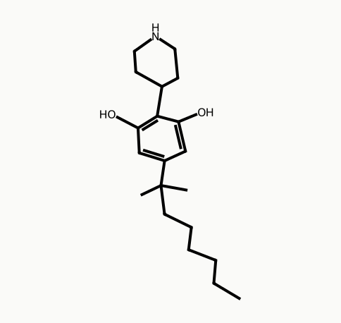 CCCCCCC(C)(C)c1cc(O)c(C2CCNCC2)c(O)c1